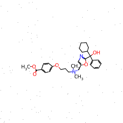 COC(=O)c1ccc(OCCC[N+](C)(C)Cc2cnc(C(O)(c3ccccc3)C3CCCCC3)o2)cc1